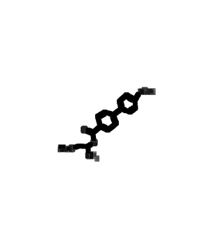 CCCCCCCCCCc1ccc(-c2ccc(C(=O)OC(C)COC)cc2)cc1